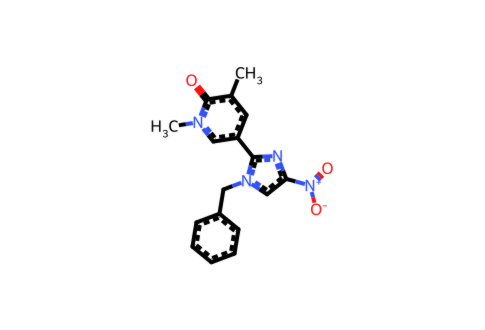 Cc1cc(-c2nc([N+](=O)[O-])cn2Cc2ccccc2)cn(C)c1=O